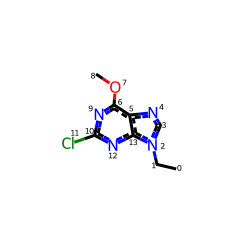 CCn1cnc2c(OC)nc(Cl)nc21